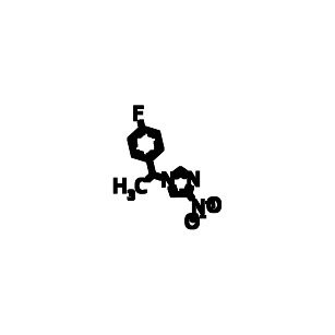 CC(c1ccc(F)cc1)n1cnc([N+](=O)[O-])c1